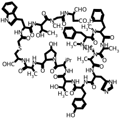 CC(NC(=O)C1CC(O)CN1C(=O)C(NC(=O)C(NC(=O)C(Cc1ccc(O)cc1)NC(=O)C(Cc1cnc[nH]1)NC(=O)C(C)N(C)C(=O)C(C)NC(=O)C(Cc1ccccc1)N(C)C(=O)C(Cc1ccccc1)N(C)C)C(C)O)C(C)C)C(=O)NC(C=O)CSCC(=O)NC(Cc1c[nH]c2ccccc12)C(=O)NC(C(=O)N(C)CC(=O)NC(C=O)CC(=O)O)C(C)O